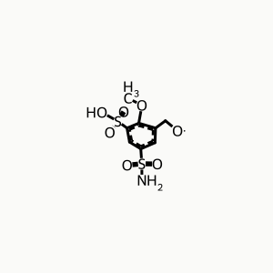 COc1c(C[O])cc(S(N)(=O)=O)cc1S(=O)(=O)O